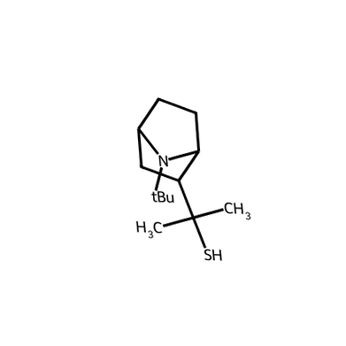 CC(C)(S)C1CC2CCC1N2C(C)(C)C